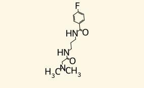 CN(C)CC(=O)NCCCNC(=O)c1ccc(F)cc1